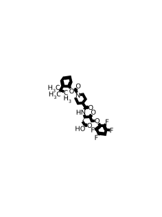 CC(C)(C)c1ccccc1OC(=O)N1CCC(C(=O)N[C@@H](CC(=O)O)C(=O)COc2c(F)c(F)cc(F)c2F)CC1